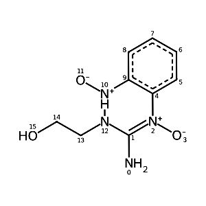 NC1=[N+]([O-])c2ccccc2[NH+]([O-])N1CCO